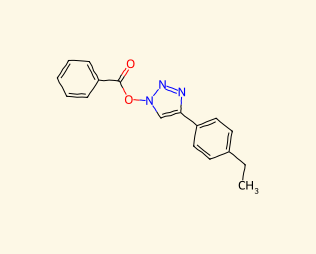 CCc1ccc(-c2cn(OC(=O)c3ccccc3)nn2)cc1